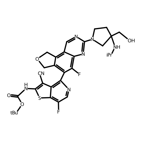 CC(C)NC1(CO)CCN(c2ncc3c4c(c(-c5ncc(F)c6sc(NC(=O)OC(C)(C)C)c(C#N)c56)c(F)c3n2)COC4)C1